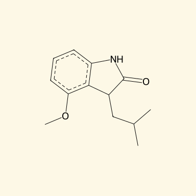 COc1cccc2c1C(CC(C)C)C(=O)N2